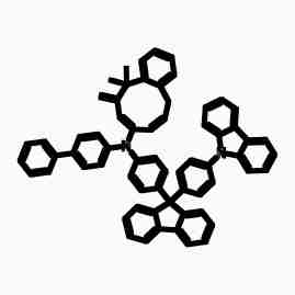 C=C1/C=C(N(c2ccc(-c3ccccc3)cc2)c2ccc(C3(c4ccc(-n5c6ccccc6c6ccccc65)cc4)c4ccccc4-c4ccccc43)cc2)\C=C/Cc2ccccc2C1(C)C